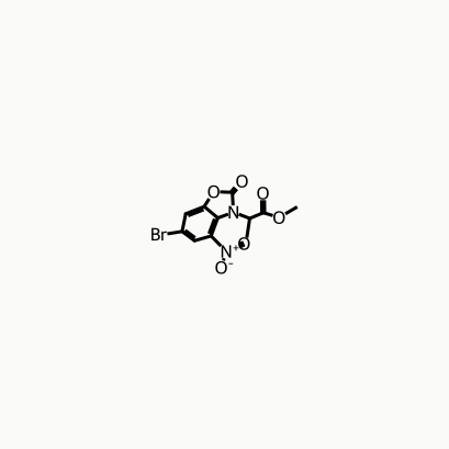 COC(=O)C(C)n1c(=O)oc2cc(Br)cc([N+](=O)[O-])c21